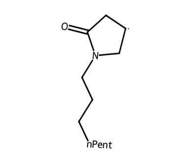 CCCCCCCCN1C[CH]CC1=O